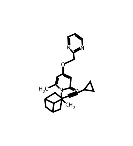 Cc1cc(OCc2ncccn2)cc(=O)n1C(C)C1C2CC(C#CC3CC3)CC1C2